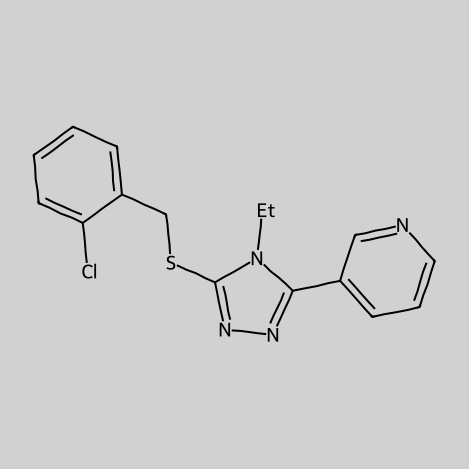 CCn1c(SCc2ccccc2Cl)nnc1-c1cccnc1